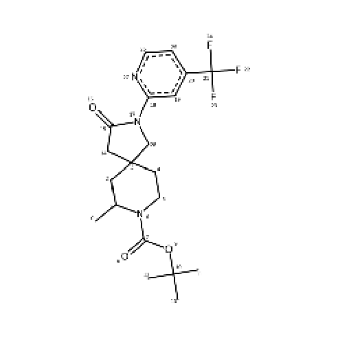 CC1CC2(CCN1C(=O)OC(C)(C)C)CC(=O)N(c1cc(C(F)(F)F)ccn1)C2